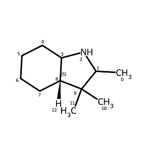 CC1NC2CCCC[C@H]2C1(C)C